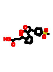 CS(=O)(=O)c1ccc(C2=C(c3ccccc3C(=O)CCC(=O)O)C(=O)OC2)cc1